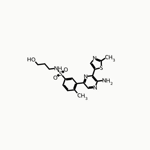 Cc1ncc(-c2nc(-c3cc(S(=O)(=O)NCCCO)ccc3C)cnc2N)s1